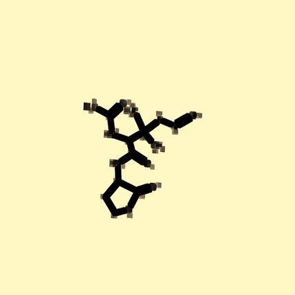 CC(=O)NC(C(=O)NC1CCOC1=O)C(C)(C)SN=O